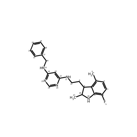 Cc1ccc(F)c2c1C(CCNc1cc(NCc3ccccc3)ncn1)C(C)N2